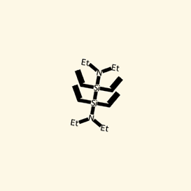 C=C[Si](C=C)(N(CC)CC)[Si](C=C)(C=C)N(CC)CC